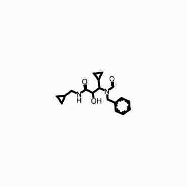 O=CN(Cc1ccccc1)C(C1CC1)C(O)C(=O)NCC1CC1